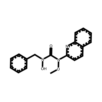 CON(C(=O)N(O)Cc1ccccc1)c1ccc2ccccc2n1